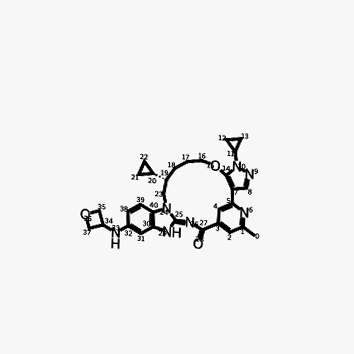 Cc1cc2cc(n1)-c1cnn(C3CC3)c1OCCC[C@@H](C1CC1)CN1/C(=N/C2=O)Nc2cc(NC3COC3)ccc21